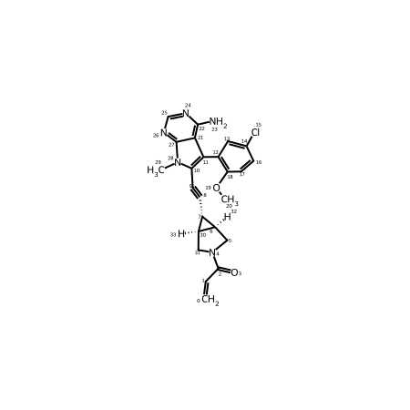 C=CC(=O)N1C[C@@H]2[C@@H](C#Cc3c(-c4cc(Cl)ccc4OC)c4c(N)ncnc4n3C)[C@@H]2C1